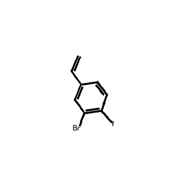 C=Cc1ccc(I)c(Br)c1